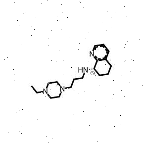 CCN1CCN(CCCN[C@H]2CCCc3cccnc32)CC1